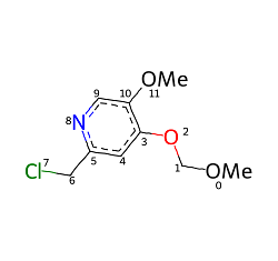 COCOc1cc(CCl)ncc1OC